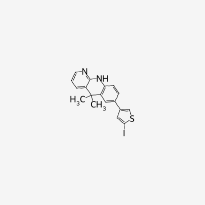 CC1(C)c2cc(-c3csc(I)c3)ccc2Nc2ncccc21